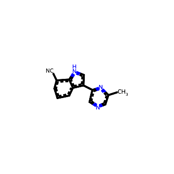 Cc1cncc(-c2c[nH]c3c(C#N)cccc23)n1